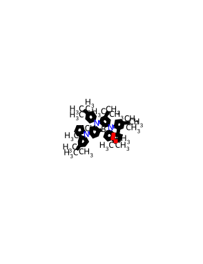 CC(C)(C)c1ccc(N2c3cc(N4c5ccc(C(C)(C)C)cc5C5(C)CCCC45C)ccc3B3c4ccc(C(C)(C)C)cc4N(c4ccc(C(C)(C)C)cc4-c4ccccc4)c4cc(C(C)(C)C)cc2c43)cc1